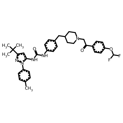 Cc1ccc(-n2nc(C(C)(C)C)cc2NC(=O)Nc2ccc(CC3CCN(CC(=O)c4ccc(OC(F)F)cc4)CC3)cc2)cc1